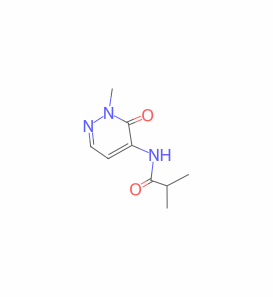 CC(C)C(=O)Nc1ccnn(C)c1=O